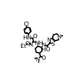 CCON=C(N[C@H]1CCC(C(=O)N(C)C)C[C@H]1NC(=O)c1nc2c(s1)CN(C)CC2)C(=O)Nc1ccc(Cl)cc1